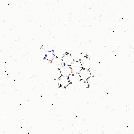 CCc1noc(C(C)N(Cc2ccccn2)C(=O)CC(C)c2ccc(F)cc2)n1